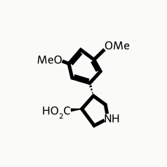 COc1cc(OC)cc([C@@H]2CNC[C@H]2C(=O)O)c1